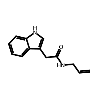 C=CCNC(=O)Cc1c[nH]c2ccccc12